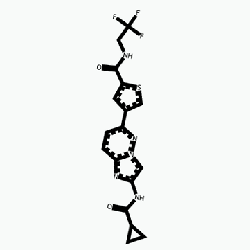 O=C(NCC(F)(F)F)c1cc(-c2ccc3nc(NC(=O)C4CC4)cn3n2)cs1